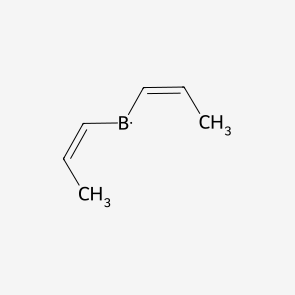 C/C=C\[B]/C=C\C